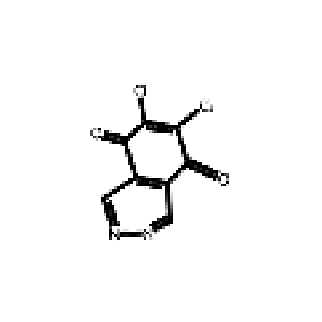 O=C1C(Cl)=C(Cl)C(=O)c2cnncc21